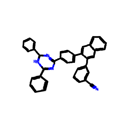 N#Cc1cccc(-c2cc3ccccc3cc2-c2ccc(C3=NC(c4ccccc4)NC(c4ccccc4)=N3)cc2)c1